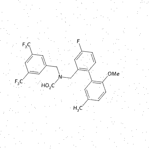 COc1ccc(C)cc1-c1ccc(F)cc1CN(Cc1cc(C(F)(F)F)cc(C(F)(F)F)c1)C(=O)O